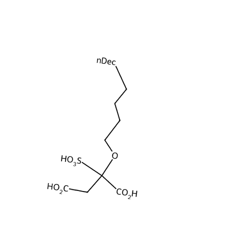 CCCCCCCCCCCCCCOC(CC(=O)O)(C(=O)O)S(=O)(=O)O